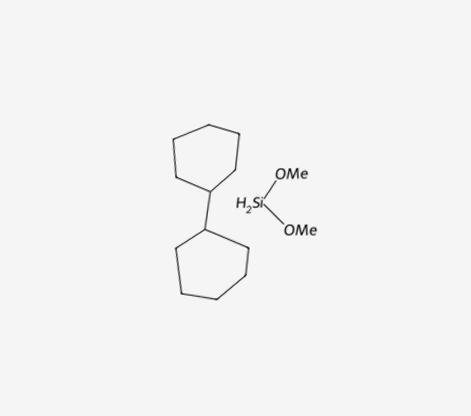 C1CCC(C2CCCCC2)CC1.CO[SiH2]OC